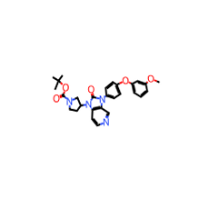 COc1cccc(Oc2ccc(-n3c(=O)n(C4CCN(C(=O)OC(C)(C)C)C4)c4ccncc43)cc2)c1